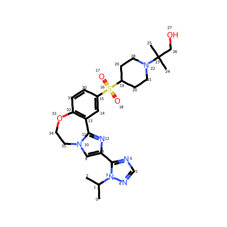 CC(C)n1ncnc1-c1cn2c(n1)-c1cc(S(=O)(=O)C3CCN(C(C)(C)CO)CC3)ccc1OCC2